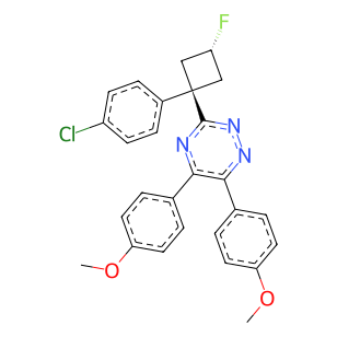 COc1ccc(-c2nnc([C@]3(c4ccc(Cl)cc4)C[C@@H](F)C3)nc2-c2ccc(OC)cc2)cc1